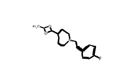 CC1OC(C2CCN(CCc3ccc(F)cc3)CC2)O1